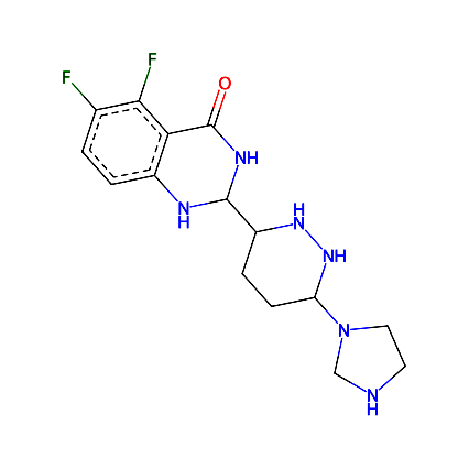 O=C1NC(C2CCC(N3CCNC3)NN2)Nc2ccc(F)c(F)c21